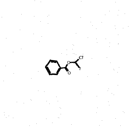 O=C(OC(Cl)I)c1ccccc1